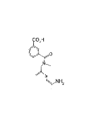 C=C(CN(C)C(=O)c1cccc(C(=O)O)c1)S/C=C(/C)N